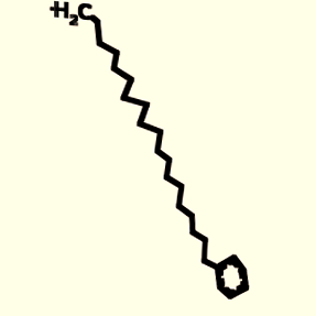 [CH2]CCCCCCCCCCCCCCCCCCc1ccccc1